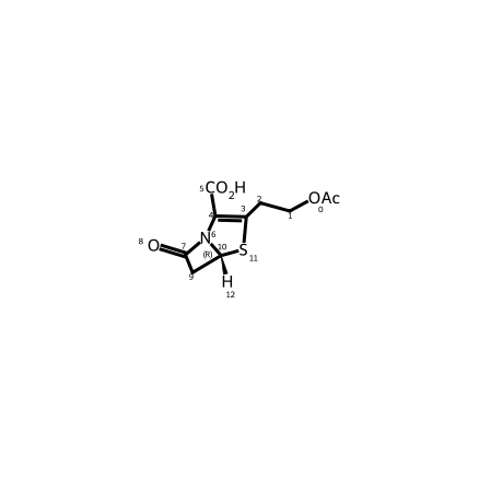 CC(=O)OCCC1=C(C(=O)O)N2C(=O)C[C@H]2S1